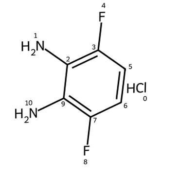 Cl.Nc1c(F)ccc(F)c1N